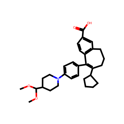 COC(OC)C1CCN(c2ccc(C3=C(C4CCCC4)CCCc4cc(C(=O)O)ccc43)cc2)CC1